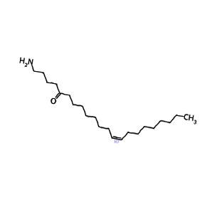 CCCCCCCC/C=C\CCCCCCCC(=O)CCCCN